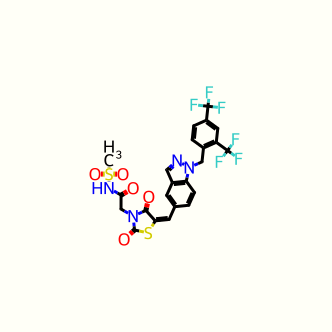 CS(=O)(=O)NC(=O)CN1C(=O)SC(=Cc2ccc3c(cnn3Cc3ccc(C(F)(F)F)cc3C(F)(F)F)c2)C1=O